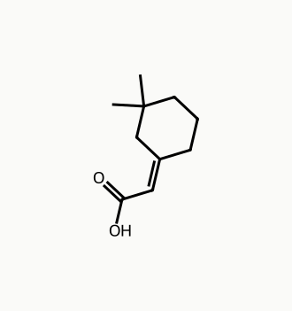 CC1(C)CCCC(=CC(=O)O)C1